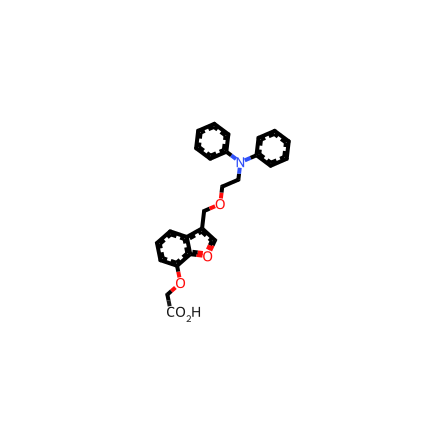 O=C(O)COc1cccc2c(COCCN(c3ccccc3)c3ccccc3)coc12